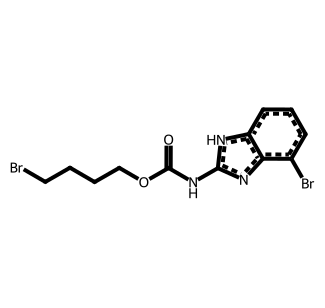 O=C(Nc1nc2c(Br)cccc2[nH]1)OCCCCBr